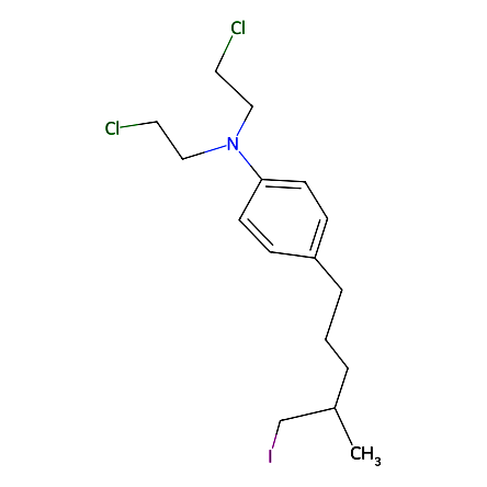 CC(CI)CCCc1ccc(N(CCCl)CCCl)cc1